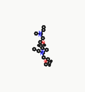 c1ccc(-c2ccc(-c3nc(-c4cccc(-c5cccc6c5Oc5ccccc5C65c6ccccc6-c6ccccc65)c4)cc(-c4ccccc4-c4ccc5c(c4)C4(c6ccccc6Oc6c(-c7cccc(-c8cc(-c9ccc%10ccccc%10c9)nc(-c9ccccc9)n8)c7)cccc64)c4ccccc4-5)n3)cc2)cc1